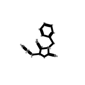 [N-]=[N+]=NC1CC(=O)N(Cc2ccccc2)C1=O